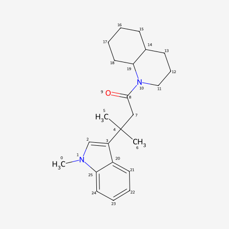 Cn1cc(C(C)(C)CC(=O)N2CCCC3CCCCC32)c2ccccc21